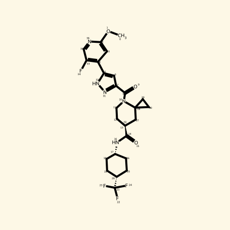 COc1cc(-c2cc(C(=O)N3CC[C@H](C(=O)N[C@H]4CC[C@@H](C(F)(F)F)CC4)CC34CC4)n[nH]2)c(F)cn1